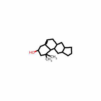 CC1(C)CC(O)CC2=CCC3CC4CCCC4CC3C21